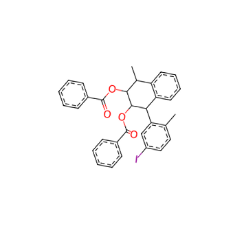 Cc1ccc(I)cc1C1c2ccccc2C(C)C(OC(=O)c2ccccc2)C1OC(=O)c1ccccc1